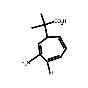 CCC1=CC=CC(C(C)(C)C(=O)O)C=C1N